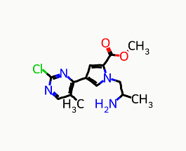 COC(=O)c1cc(-c2nc(Cl)ncc2C)cn1CC(C)N